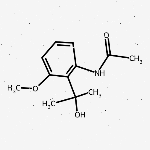 COc1cccc(NC(C)=O)c1C(C)(C)O